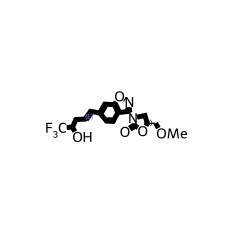 COC[C@H]1CN(c2noc3cc(/C=C/CC(O)C(F)(F)F)ccc23)C(=O)O1